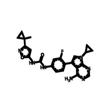 CC1(c2cc(NC(=O)Nc3ccc(-c4cn(C5CC5)c5ncnc(N)c45)c(F)c3)on2)CC1